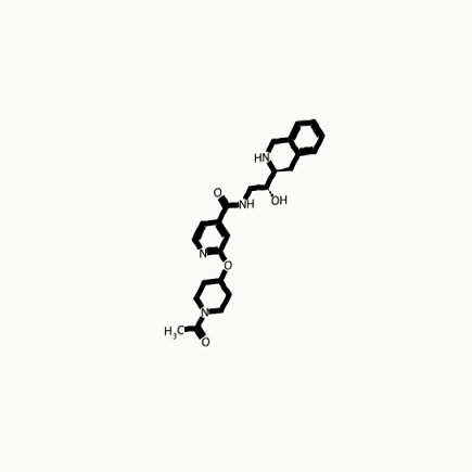 CC(=O)N1CCC(Oc2cc(C(=O)NC[C@@H](O)[C@@H]3Cc4ccccc4CN3)ccn2)CC1